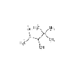 CC(O)C(O)C(C)(C)N